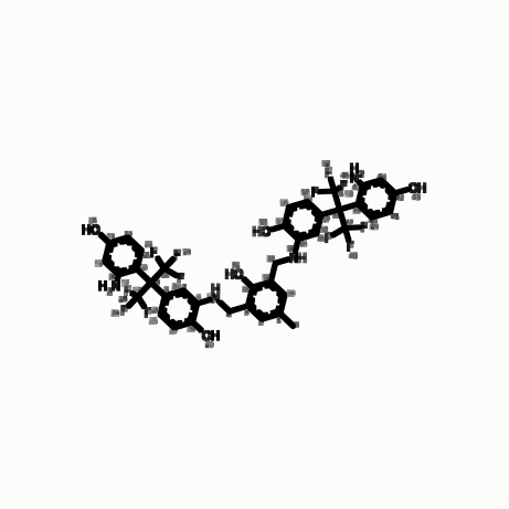 Cc1cc(CNc2cc(C(c3ccc(O)cc3N)(C(F)(F)F)C(F)(F)F)ccc2O)c(O)c(CNc2cc(C(c3ccc(O)cc3N)(C(F)(F)F)C(F)(F)F)ccc2O)c1